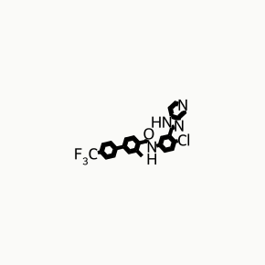 Cc1cc(-c2ccc(C(F)(F)F)cc2)ccc1C(=O)Nc1ccc(Cl)c(-c2nc3cnccc3[nH]2)c1